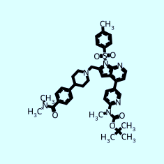 Cc1ccc(S(=O)(=O)n2c(CN3CCC(c4ccc(C(=O)N(C)C)cc4)CC3)cc3c(-c4ccc(N(C)C(=O)OC(C)(C)C)nc4)ccnc32)cc1